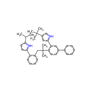 CC(C)c1ccc(-c2ccccc2CC(C)(C)c2ccc(-c3ccccc3)cc2-c2cc(C(C)(C)C)c[nH]2)[nH]1